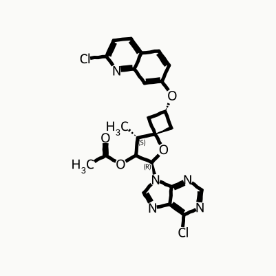 CC(=O)OC1[C@H](n2cnc3c(Cl)ncnc32)O[C@]2(C[C@@H](Oc3ccc4ccc(Cl)nc4c3)C2)[C@H]1C